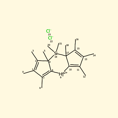 CC1=C(C)C2(C)[C](=C1C)[Hf+2][C]1=C(C)C(C)=C(C)C1(C)[Si]2(C)C.[Cl-].[Cl-]